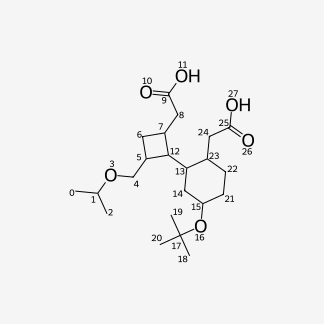 CC(C)OCC1CC(CC(=O)O)C1C1CC(OC(C)(C)C)CCC1CC(=O)O